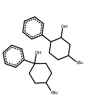 CC(C)(C)C1CCC(O)(c2ccccc2)CC1.CC(C)(C)C1CCC(c2ccccc2)C(O)C1